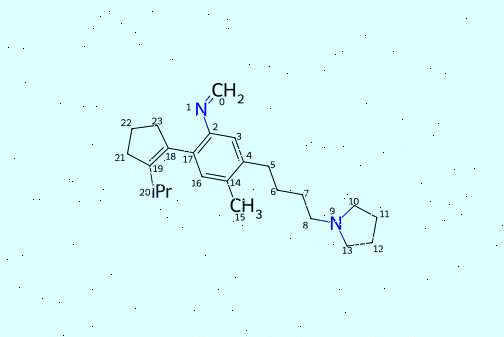 C=Nc1cc(CCCCN2CCCC2)c(C)cc1C1=C(C(C)C)CCC1